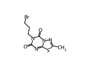 Cc1nn2c(=O)n(CCCBr)c(=O)nc2s1